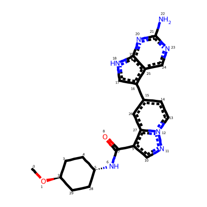 CO[C@H]1CC[C@H](NC(=O)c2cnn3ccc(-c4c[nH]c5nc(N)ncc45)cc23)CC1